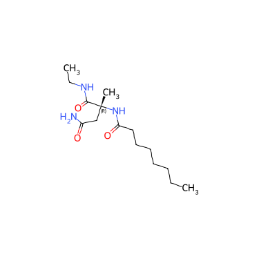 CCCCCCCC(=O)N[C@](C)(CC(N)=O)C(=O)NCC